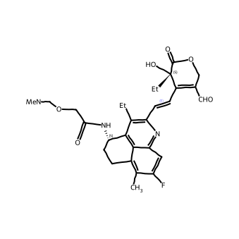 CCc1c(/C=C/C2=C(C=O)COC(=O)[C@]2(O)CC)nc2cc(F)c(C)c3c2c1[C@@H](NC(=O)COCNC)CC3